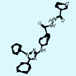 O=C(NNC(=O)c1ccoc1)c1ccc(Nc2nc(-c3ccccc3)n(-c3ccccc3)n2)cc1